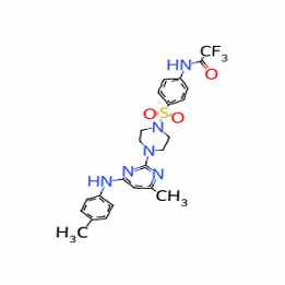 Cc1ccc(Nc2cc(C)nc(N3CCN(S(=O)(=O)c4ccc(NC(=O)C(F)(F)F)cc4)CC3)n2)cc1